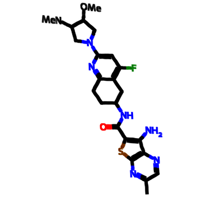 CNC1CN(c2cc(F)c3c(n2)CCC(NC(=O)c2sc4nc(C)cnc4c2N)C3)CC1OC